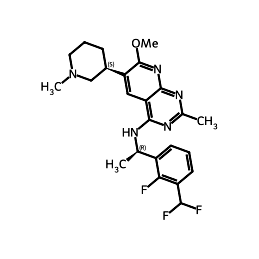 COc1nc2nc(C)nc(N[C@H](C)c3cccc(C(F)F)c3F)c2cc1[C@@H]1CCCN(C)C1